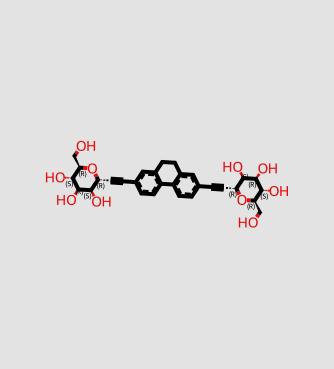 OC[C@H]1O[C@H](C#Cc2ccc3c(c2)CCc2cc(C#C[C@H]4O[C@H](CO)[C@@H](O)[C@H](O)[C@@H]4O)ccc2-3)[C@@H](O)[C@@H](O)[C@@H]1O